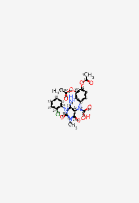 CC(=O)Oc1ccc(N(C(=O)O)c2c(N)n(-c3ccccc3Cl)c(=O)n(C)c2=O)cc1OC(C)=O